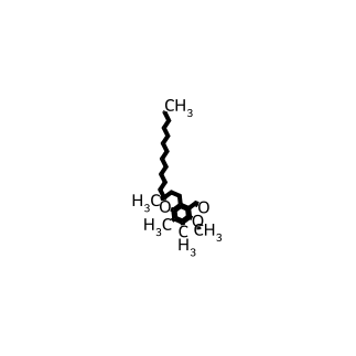 CCCCCCCCCCCCC1(C)CCc2c(C=O)c(OC)c(C)c(C)c2O1